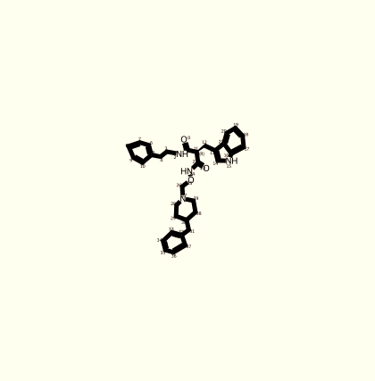 O=C(NCCc1ccccc1)[C@@H](Cc1c[nH]c2ccccc12)C(=O)NOCN1CCC(Cc2ccccc2)CC1